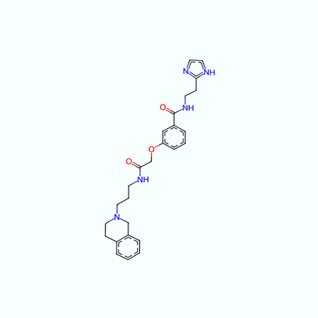 O=C(COc1cccc(C(=O)NCCc2ncc[nH]2)c1)NCCCN1CCc2ccccc2C1